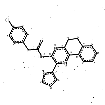 O=C(Cc1ccc(Cl)cc1)Nc1nc2c(nc1-c1cccs1)-c1ccccc1CC2